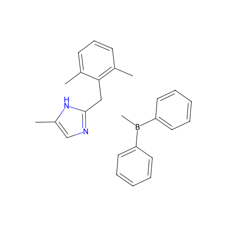 CB(c1ccccc1)c1ccccc1.Cc1cnc(Cc2c(C)cccc2C)[nH]1